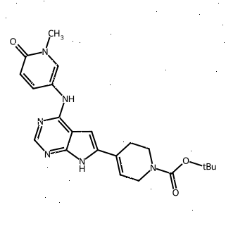 Cn1cc(Nc2ncnc3[nH]c(C4=CCN(C(=O)OC(C)(C)C)CC4)cc23)ccc1=O